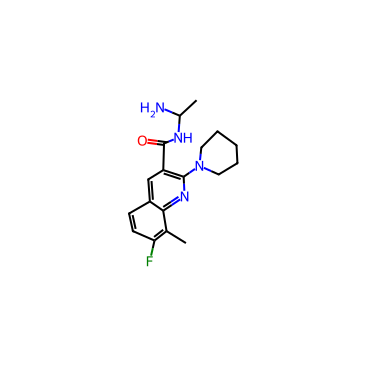 Cc1c(F)ccc2cc(C(=O)NC(C)N)c(N3CCCCC3)nc12